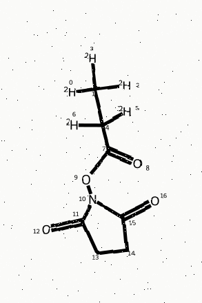 [2H]C([2H])([2H])C([2H])([2H])C(=O)ON1C(=O)CCC1=O